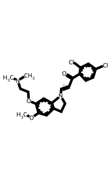 COc1cc2c(cc1OCCN(C)C)N(/C=C/C(=O)c1ccc(Cl)cc1Cl)CC2